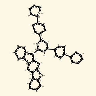 c1ccc(-c2ccc(-c3nc(-c4ccc(-c5ccccc5)cc4)nc(-n4c5ccccc5c5cc6c(cc54)sc4ccccc46)n3)cc2)cc1